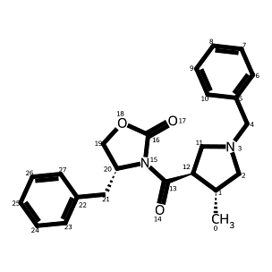 C[C@H]1CN(Cc2ccccc2)C[C@@H]1C(=O)N1C(=O)OC[C@H]1Cc1ccccc1